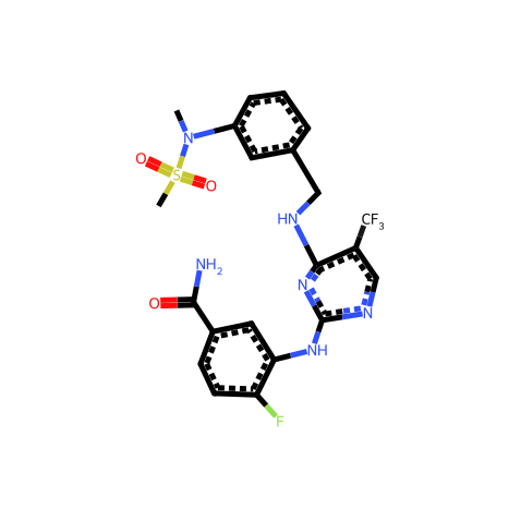 CN(c1cccc(CNc2nc(Nc3cc(C(N)=O)ccc3F)ncc2C(F)(F)F)c1)S(C)(=O)=O